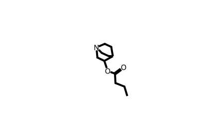 CCCC(=O)OC1CN2CCC1CC2